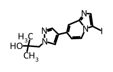 CC(C)(O)Cn1cc(-c2ccn3c(I)cnc3c2)cn1